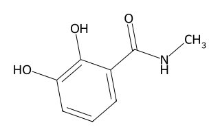 CNC(=O)c1cccc(O)c1O